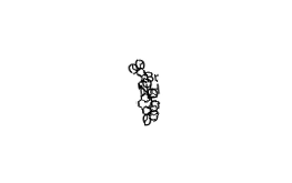 COc1cc(Br)c(C(=O)/C=C\Nc2cc(/C=C\c3cc(OC)c(OC)c(OC)c3)cc(F)c2OC)cc1OC